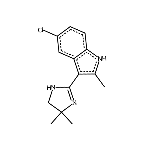 Cc1[nH]c2ccc(Cl)cc2c1C1=NC(C)(C)CN1